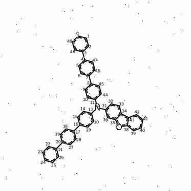 c1ccc(-c2ccc(-c3ccc(N(c4ccc(-c5ccc(-c6ccccc6)cc5)cc4)c4ccc5c(c4)oc4ccccc45)cc3)cc2)cc1